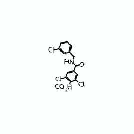 O=C(NCc1cccc(Cl)c1)c1cc(Cl)c(C(=O)O)c(Cl)c1